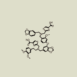 COc1cc(Oc2cc(CN(CCc3ccc(OC)c(OC)c3)Cc3nc(C(=O)O)cs3)cc3c2OCO3)ccc1CN(Cc1ccc2c(c1)OCO2)Cc1nc(C(=O)O)cs1